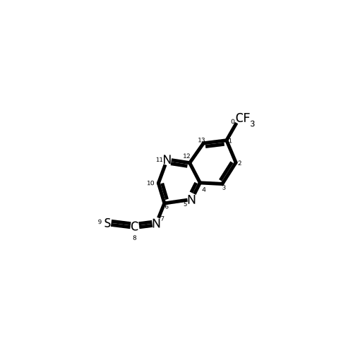 FC(F)(F)c1ccc2nc(N=C=S)cnc2c1